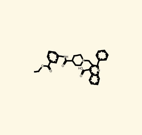 CCOC(=O)c1cccc(NC(=O)C2CCN(Cc3c(-c4ccccc4)nc4ccccc4c3C(=O)O)CC2)c1